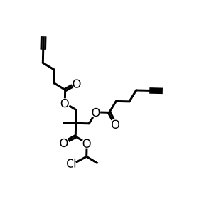 C#CCCCC(=O)OCC(C)(COC(=O)CCCC#C)C(=O)OC(C)Cl